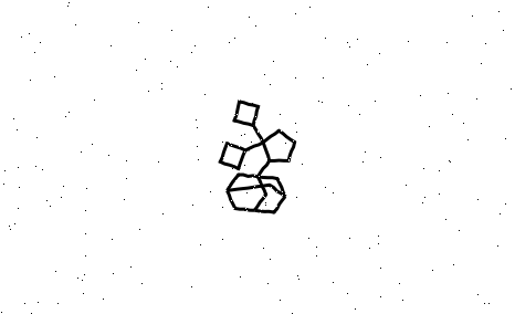 C1C[C](C2(C3CCC3)CCCC2C23CC4CC(CC(C4)C2)C3)C1